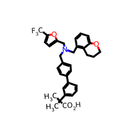 CC(C)(C(=O)O)c1cccc(-c2ccc(CN(Cc3ccc(C(F)(F)F)o3)Cc3cccc4c3CCCO4)cc2)c1